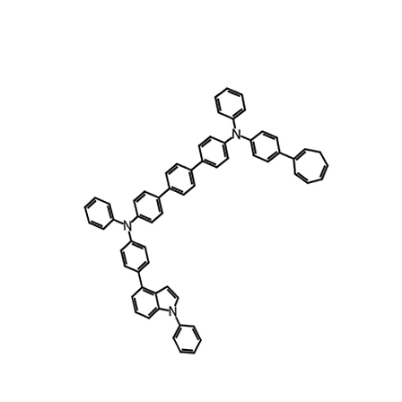 C1=CCC=C(c2ccc(N(c3ccccc3)c3ccc(-c4ccc(-c5ccc(N(c6ccccc6)c6ccc(-c7cccc8c7ccn8-c7ccccc7)cc6)cc5)cc4)cc3)cc2)C=C1